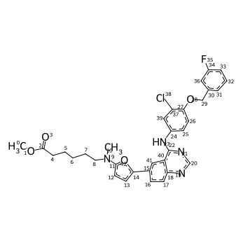 COC(=O)CCCCCN(C)c1ccc(-c2ccc3ncnc(Nc4ccc(OCc5cccc(F)c5)c(Cl)c4)c3c2)o1